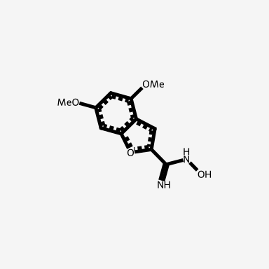 COc1cc(OC)c2cc(C(=N)NO)oc2c1